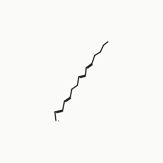 [CH2]/C=C/C=C/CC/C=C/C=C/CCCC